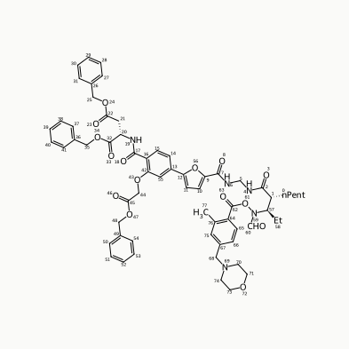 CCCCC[C@@H](C(=O)NCNC(=O)c1ccc(-c2ccc(C(=O)N[C@@H](CC(=O)OCc3ccccc3)C(=O)OCc3ccccc3)c(OCC(=O)OCc3ccccc3)c2)o1)[C@@H](CC)N(C=O)OC(=O)c1ccc(CN2CCOCC2)cc1C